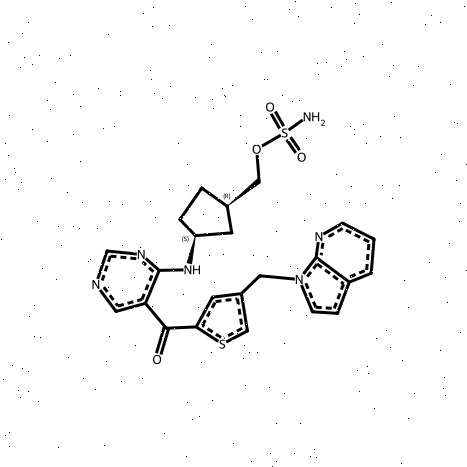 NS(=O)(=O)OC[C@@H]1CC[C@H](Nc2ncncc2C(=O)c2cc(Cn3ccc4cccnc43)cs2)C1